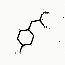 CCCCCCC(C)CC1CCC(N)CC1